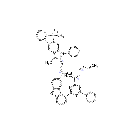 C=C/C=C\C=C(/C)c1nc(-c2ccccc2)nc(-c2cccc3oc4ccc(/C(C)=C/C=c5\c(=C)c6cc7c(cc6n5-c5ccccc5)C(C)(C)c5ccccc5-7)cc4c23)n1